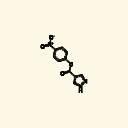 O=C(Oc1ccc([N+](=O)[O-])cc1)c1cn[nH]c1